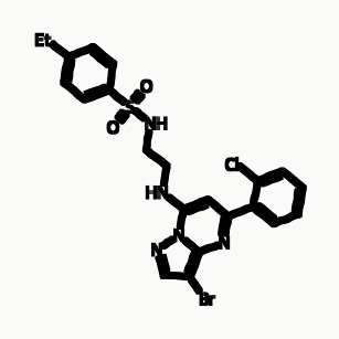 CCc1ccc(S(=O)(=O)NCCNc2cc(-c3ccccc3Cl)nc3c(Br)cnn23)cc1